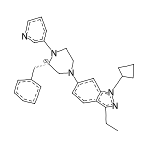 CCc1nn(C2CCC2)c2cc(N3CCN(c4cccnc4)[C@@H](Cc4ccccc4)C3)ccc12